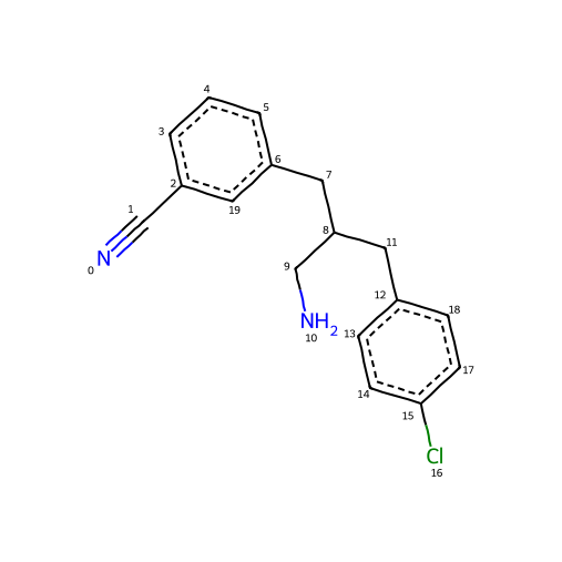 N#Cc1cccc(CC(CN)Cc2ccc(Cl)cc2)c1